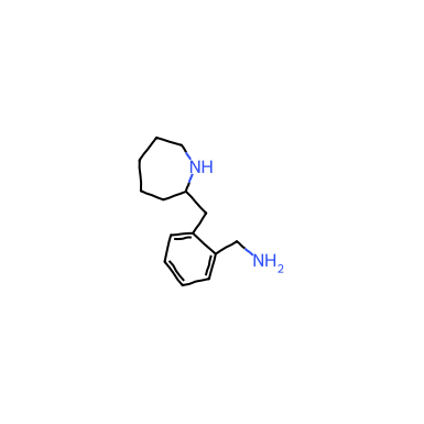 NCc1ccccc1CC1CCCCCN1